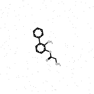 CCC(=O)Oc1cccc(-c2ccccc2)c1C